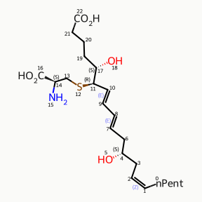 CCCCC/C=C\C[C@H](O)C/C=C/C=C/[C@@H](SC[C@@H](N)C(=O)O)[C@@H](O)CCCC(=O)O